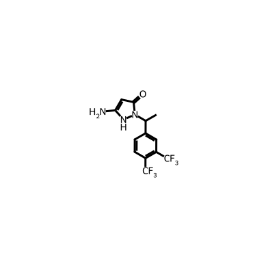 CC(c1ccc(C(F)(F)F)c(C(F)(F)F)c1)n1[nH]c(N)cc1=O